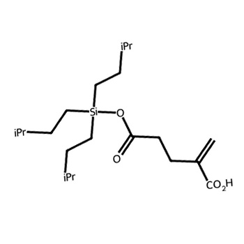 C=C(CCC(=O)O[Si](CCC(C)C)(CCC(C)C)CCC(C)C)C(=O)O